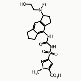 CCN(CCO)C1CCc2c1cc1c(c2NC(=O)NS(=O)(=O)c2cc(C(=O)O)n(C)n2)CCC1